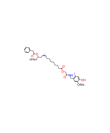 CCCCCCC(C/C=C\CCCCCCCC(=O)OCC(=O)NCc1cc(OC)c(O)cc1I)OC(=O)Cc1ccccc1